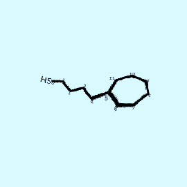 SCCCCC1CCCCCC1